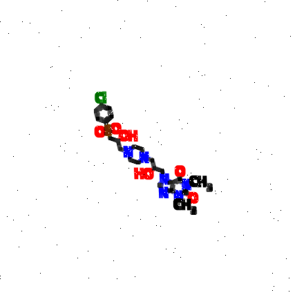 Cn1c(=O)c2c(ncn2CC(O)CN2CCN(CC(O)CS(=O)(=O)c3ccc(Cl)cc3)CC2)n(C)c1=O